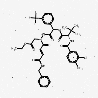 CCOC(=O)CN(NC(=O)C(NC(=O)[C@@H](NC(=O)c1ccc(N)c(Cl)c1)C(C)(C)C)c1cccc(C(F)(F)F)c1)C(=O)/C=C/C(=O)NCc1ccccc1